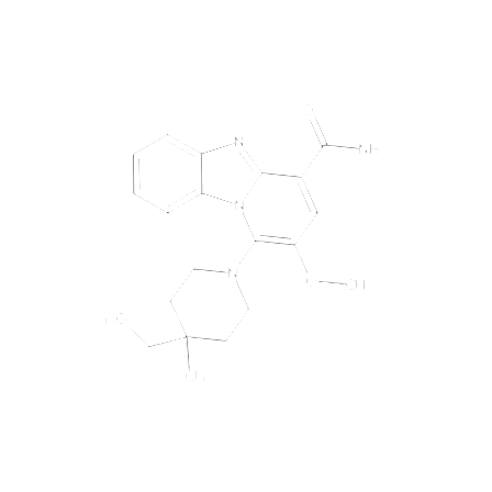 COc1cc(C(N)=O)c2nc3ccccc3n2c1N1CCC(C)(CO)CC1